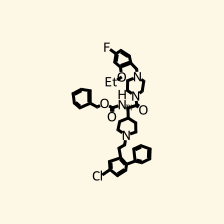 CCOc1cc(F)ccc1CN1CCN(C(=O)[C@H](NC(=O)OCc2ccccc2)C2CCN(CCc3cc(Cl)ccc3-c3ccccc3)CC2)CC1